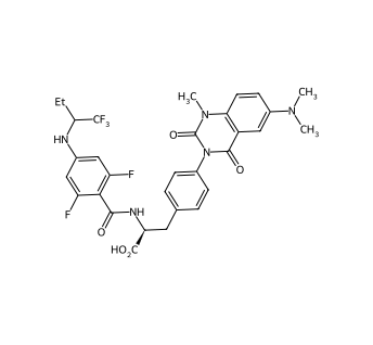 CCC(Nc1cc(F)c(C(=O)N[C@@H](Cc2ccc(-n3c(=O)c4cc(N(C)C)ccc4n(C)c3=O)cc2)C(=O)O)c(F)c1)C(F)(F)F